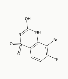 O=S1(=O)N=C(O)Nc2c1ccc(F)c2Br